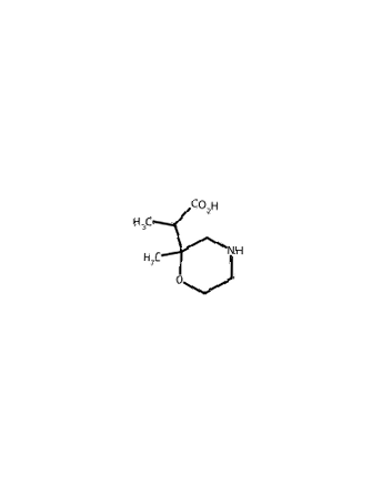 CC(C(=O)O)C1(C)CNCCO1